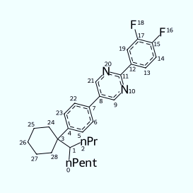 CCCCCC(CCC)C1(c2ccc(-c3cnc(-c4ccc(F)c(F)c4)nc3)cc2)CCCCC1